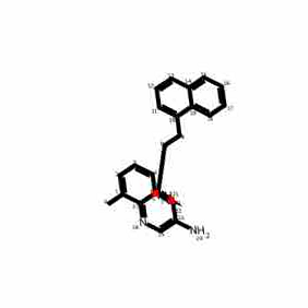 CC1=CC=CC23NC(CCc4cccc5ccccc45)=CC=C2C(N)=CN=C13